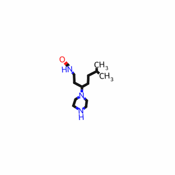 CC(C)CCC(CCNC=O)N1CCNCC1